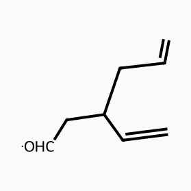 C=CCC(C=C)C[C]=O